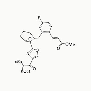 CCCCCCCCN(CCCC)C(=O)c1coc(C2C3CCC(O3)C2Cc2cc(F)ccc2/C=C/C(=O)OC)n1